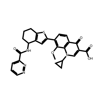 COc1c(-c2cc3c(s2)CCCC3NC(=O)c2cccnn2)ccc2c(=O)c(C(=O)O)cn(C3CC3)c12